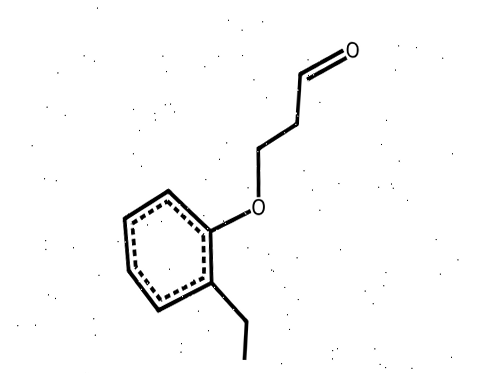 CCc1ccccc1OCCC=O